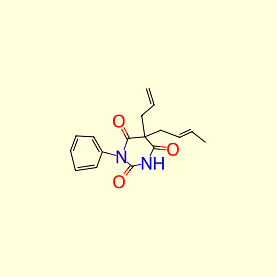 C=CCC1(C/C=C/C)C(=O)NC(=O)N(c2ccccc2)C1=O